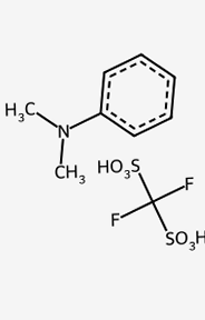 CN(C)c1ccccc1.O=S(=O)(O)C(F)(F)S(=O)(=O)O